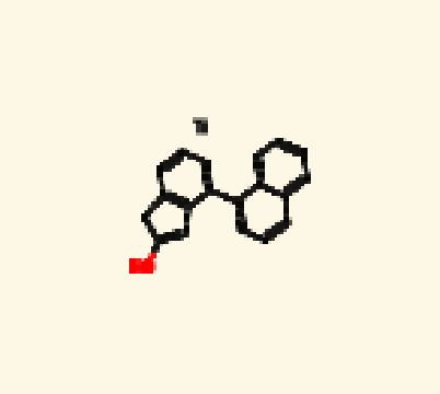 OC1=Cc2c(cccc2-c2cccc3ccccc23)C1.[Ti]